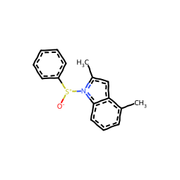 Cc1cccc2c1cc(C)n2[S+]([O-])c1ccccc1